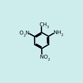 Cc1c(N)cc([N+](=O)[O-])cc1[N+](=O)[O-]